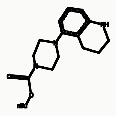 CCCCOC(=O)N1CCN(c2cccc3c2CCCN3)CC1